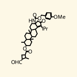 COc1ccc(COC(=O)NC23CCC4C(CCC5C4(C)CCC4C(C)C(OC(=O)C6CC(C=O)C6C)CCC45C)C2=C(C(C)C)C(=O)C3)cc1